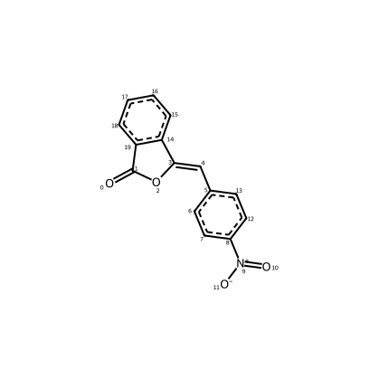 O=C1O/C(=C\c2ccc([N+](=O)[O-])cc2)c2ccccc21